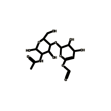 CC(=O)NC1C(O)OC(CO)C(OC2OC(OC=O)=CC(O)C2O)C1O